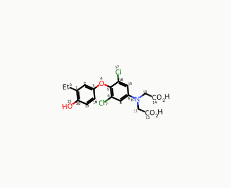 CCc1cc(Oc2c(Cl)cc(N(CC(=O)O)CC(=O)O)cc2Cl)ccc1O